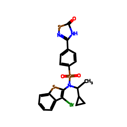 CC(C1CC1)N(c1sc2ccccc2c1Br)S(=O)(=O)c1ccc(-c2nsc(=O)[nH]2)cc1